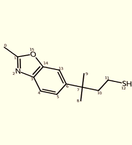 Cc1nc2ccc(C(C)(C)CCS)cc2o1